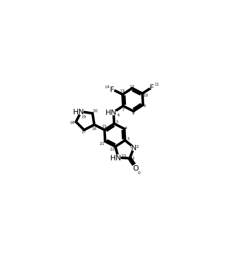 O=C1[N]c2cc(Nc3ccc(F)cc3F)c(C3CCNC3)cc2N1